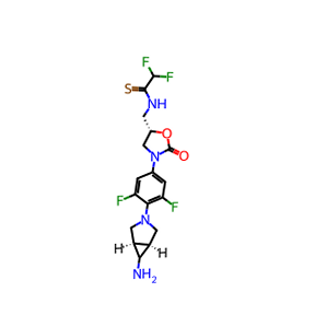 NC1[C@H]2CN(c3c(F)cc(N4C[C@H](CNC(=S)C(F)F)OC4=O)cc3F)C[C@@H]12